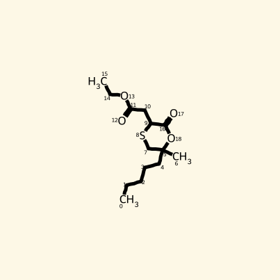 CCCCCC1(C)CSC(CC(=O)OCC)C(=O)O1